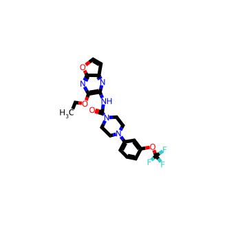 CCOc1nc2occc2nc1NC(=O)N1CCN(c2cccc(OC(F)(F)F)c2)CC1